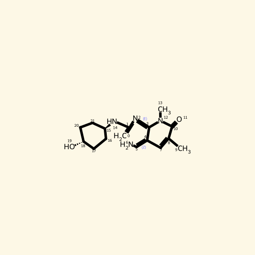 C=C(/N=C1\C(=C/N)C=C(C)C(=O)N1C)N[C@H]1CC[C@H](O)CC1